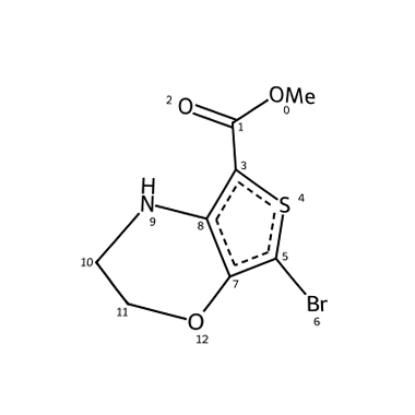 COC(=O)c1sc(Br)c2c1NCCO2